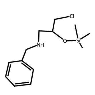 C[Si](C)(C)OC(CCl)CNCc1ccccc1